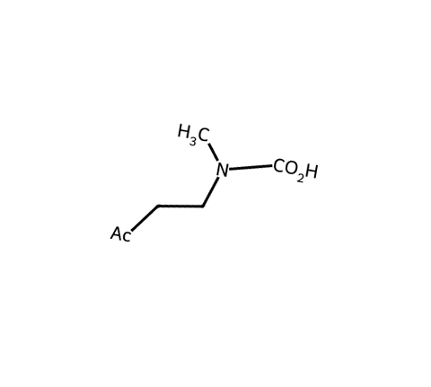 CC(=O)CCN(C)C(=O)O